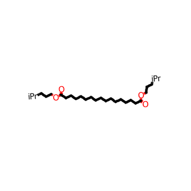 CC(C)CCCOC(=O)CCCCCCCCCCCCCCCC(=O)OCCCC(C)C